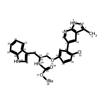 Cc1n[nH]c2ncc(-c3cc(OC[C@H](Cc4c[nH]c5ccccc45)NC(=O)OC(C)(C)C)ccc3Cl)cc12